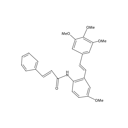 COc1ccc(NC(=O)/C=C/c2ccccc2)c(/C=C/c2cc(OC)c(OC)c(OC)c2)c1